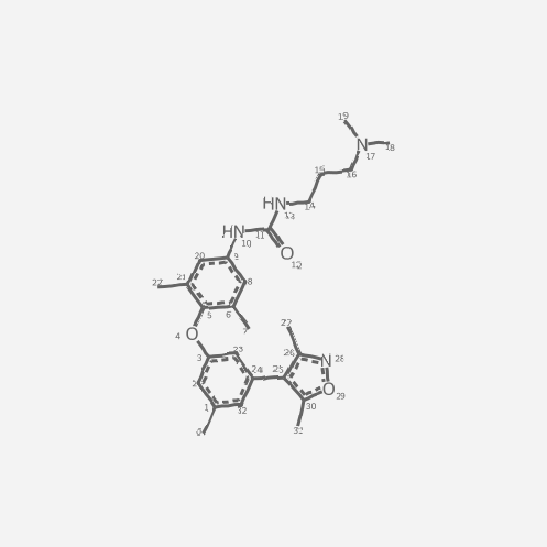 Cc1cc(Oc2c(C)cc(NC(=O)NCCCN(C)C)cc2C)cc(-c2c(C)noc2C)c1